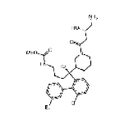 CCc1cccc(-c2c(Cl)cccc2[C@](O)(CCCNC(=O)OC)[C@@H]2CCCN(C(=O)C[C@H](O)CN)C2)c1